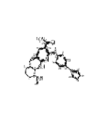 CN[C@H]1CCCC[C@H]1Nc1nc(Nc2ccc(-n3cccc3)cc2)c(C(N)=O)cc1F